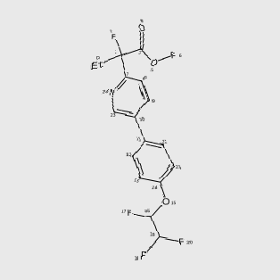 CCC(F)(C(=O)OF)c1ccc(-c2ccc(OC(F)C(F)F)cc2)cn1